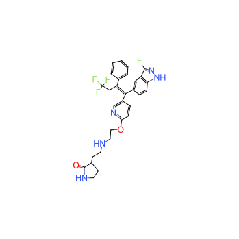 O=C1NCCC1CCNCCOc1ccc(C(=C(CC(F)(F)F)c2ccccc2)c2ccc3[nH]nc(F)c3c2)cn1